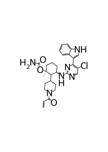 C=CC(=O)N1CCC(C2[C@H](Nc3ncc(Cl)c(-c4c[nH]c5ccccc45)n3)CCC[C@]2(C)OC(N)=O)CC1